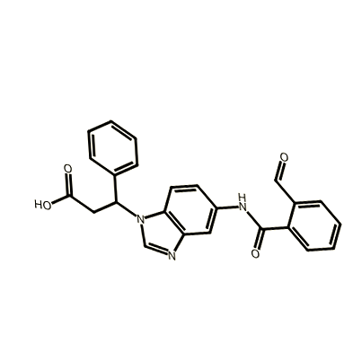 O=Cc1ccccc1C(=O)Nc1ccc2c(c1)ncn2C(CC(=O)O)c1ccccc1